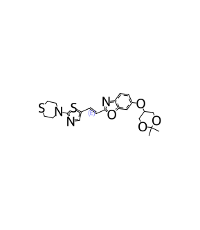 CC1(C)OCC(Oc2ccc3nc(/C=C/c4cnc(N5CCSCC5)s4)oc3c2)CO1